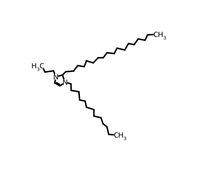 CCCCCCCCCCCCCCCCCCC1N(CCC)C=CN1CCCCCCCCCCCCC